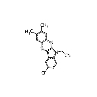 Cc1cc2nc3c4cc(Cl)ccc4n(CC#N)c3nc2cc1C